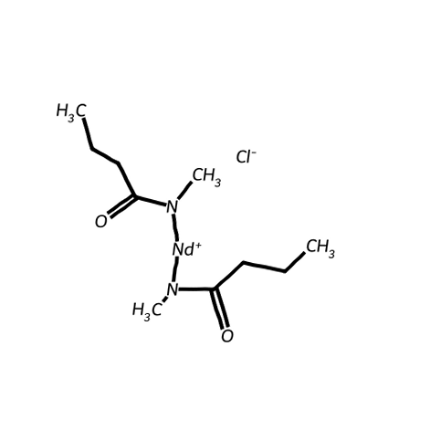 CCCC(=O)[N](C)[Nd+][N](C)C(=O)CCC.[Cl-]